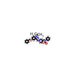 CC(C)n1nc(CN2CCC3(CC2)CN(c2ccccc2)C(=O)O3)c2cc(OCc3ccccc3)ccc21